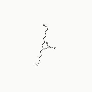 CCCCCCCCCCCCC.O=[S-](=O)O.[K+]